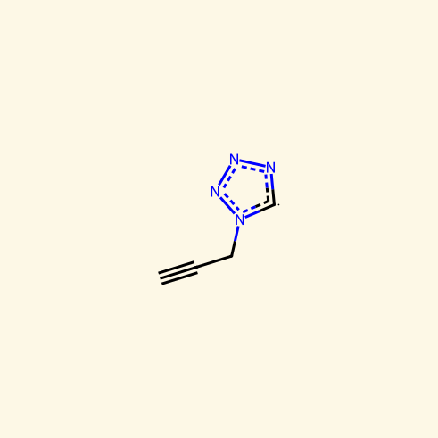 C#CCn1[c]nnn1